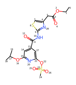 CCOC(=O)Cc1csc(NC(=O)c2cc(OC(C)C)nc(OS(C)(=O)=O)c2)n1